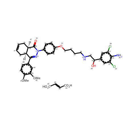 COc1ccc(C2=NN(c3ccc(OCCCCNCC(O)c4cc(Cl)c(N)c(Cl)c4)cc3)C(=O)[C@@H]3CC=CC[C@H]23)cc1OC.O=C(O)/C=C/C(=O)O